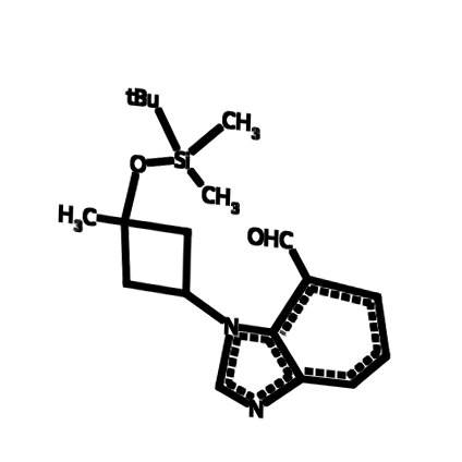 CC1(O[Si](C)(C)C(C)(C)C)CC(n2cnc3cccc(C=O)c32)C1